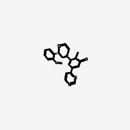 COc1ccccc1[C@H]1CN(c2nc(-c3ccncn3)cc(=O)n2C)CCO1